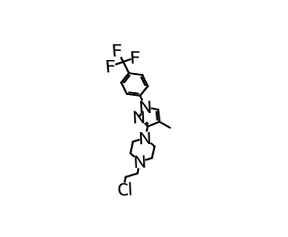 Cc1cn(-c2ccc(C(F)(F)F)cc2)nc1N1CCN(CCCl)CC1